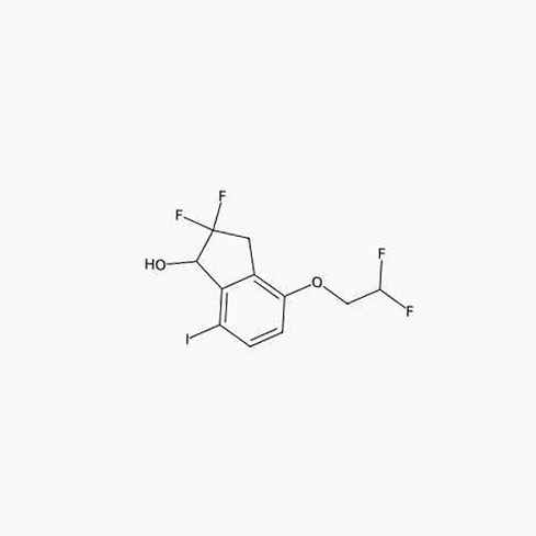 OC1c2c(I)ccc(OCC(F)F)c2CC1(F)F